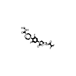 O=C(NC[C@H]1CN(c2cc(F)c(N3CCON(C(=O)NO)CC3)c(F)c2)C(=O)O1)C(F)F